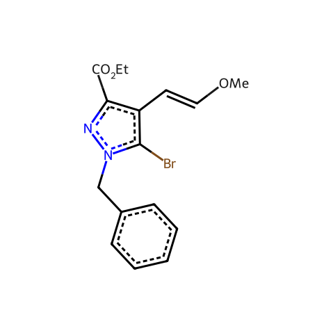 CCOC(=O)c1nn(Cc2ccccc2)c(Br)c1C=COC